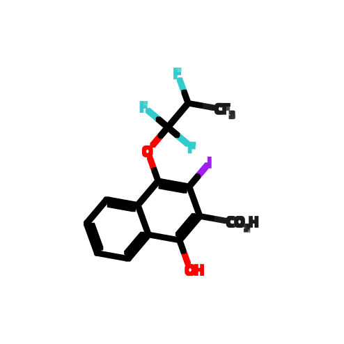 O=C(O)c1c(I)c(OC(F)(F)C(F)C(F)(F)F)c2ccccc2c1O